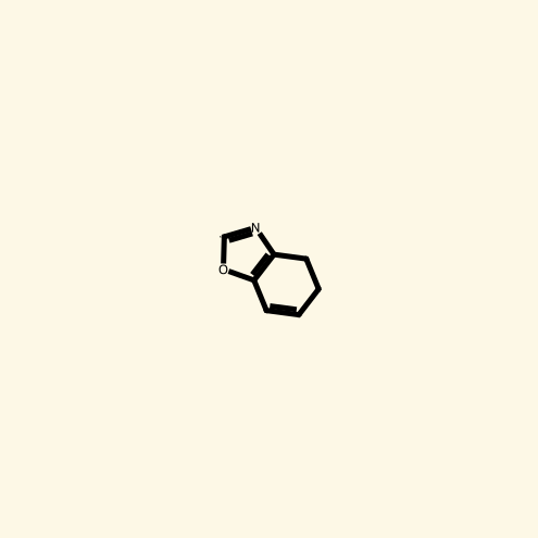 [c]1nc2c(o1)C=CCC2